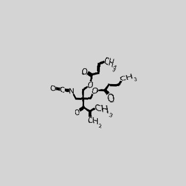 C=C(C)C(=O)C(CN=C=O)(COC(=O)C=CC)COC(=O)C=CC